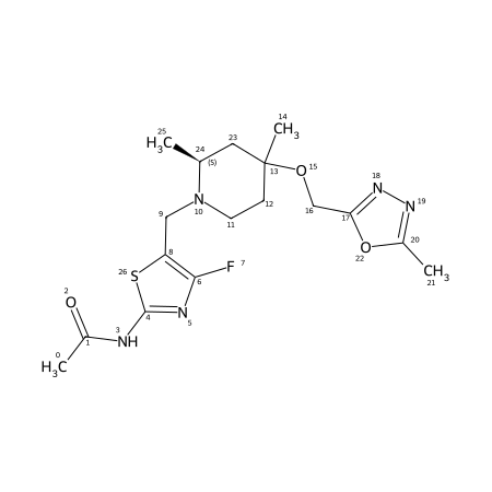 CC(=O)Nc1nc(F)c(CN2CCC(C)(OCc3nnc(C)o3)C[C@@H]2C)s1